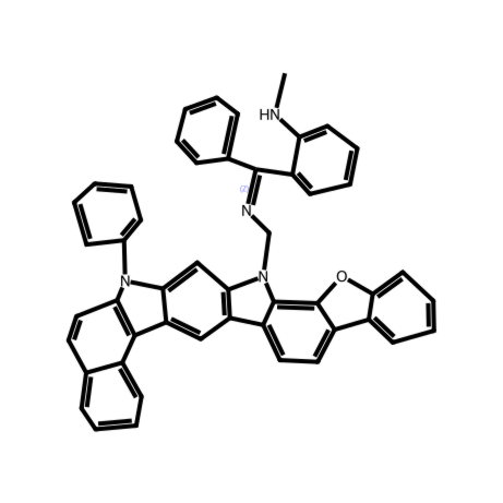 CNc1ccccc1/C(=N\Cn1c2cc3c(cc2c2ccc4c5ccccc5oc4c21)c1c2ccccc2ccc1n3-c1ccccc1)c1ccccc1